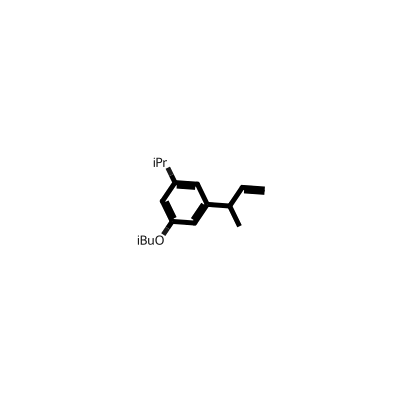 C=C[C](C)c1cc(OCC(C)C)cc(C(C)C)c1